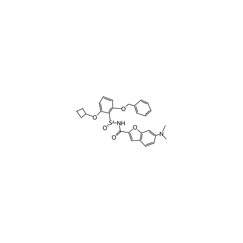 CN(C)c1ccc2cc(C(=O)N[S+]([O-])c3c(OCc4ccccc4)cccc3OC3CCC3)oc2c1